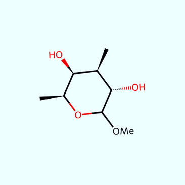 COC1O[C@@H](C)[C@@H](O)[C@@H](C)[C@@H]1O